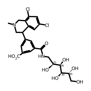 CN1Cc2c(Cl)cc(Cl)cc2C(c2cc(C(=O)O)cc(C(=O)NC[C@H](O)[C@@H](O)[C@H](O)[C@H](O)CO)c2)C1